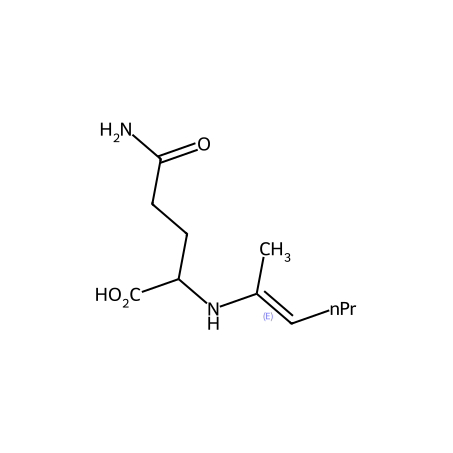 CCC/C=C(\C)NC(CCC(N)=O)C(=O)O